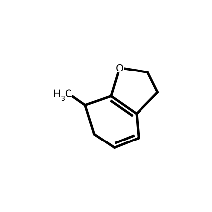 CC1CC=CC2=C1OCC2